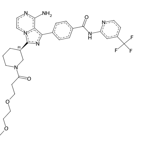 COCCOCCC(=O)N1CCC[C@@H](c2nc(-c3ccc(C(=O)Nc4cc(C(F)(F)F)ccn4)cc3)c3c(N)nccn23)C1